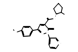 O=C(N[C@H]1CCCC1O)c1cc(-c2ccc(OC(F)(F)F)cc2)nn(-c2cccnc2)c1=O